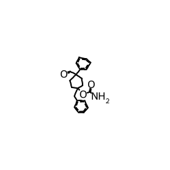 NC(=O)OC1(Cc2ccccc2)CCC(C=O)(c2ccccc2)CC1